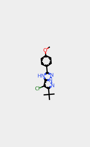 COc1ccc(-c2nn3nc(C(C)(C)C)c(Cl)c3[nH]2)cc1